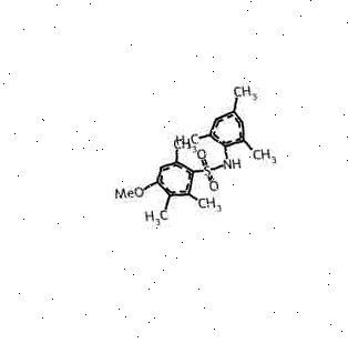 COc1cc(C)c(S(=O)(=O)Nc2c(C)cc(C)cc2C)c(C)c1C